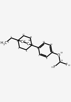 CCC12CCC(c3ccc(OC(F)F)cc3)(CC1)CC2